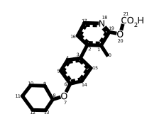 Cc1c(-c2ccc(OC3CCCCC3)cc2)ccnc1OC(=O)O